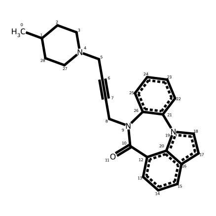 CC1CCN(CC#CCN2C(=O)c3cccc4ccn(c34)-c3ccccc32)CC1